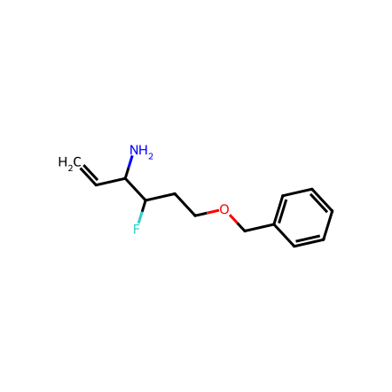 C=CC(N)C(F)CCOCc1ccccc1